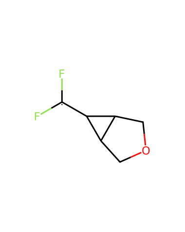 F[C](F)C1C2COCC21